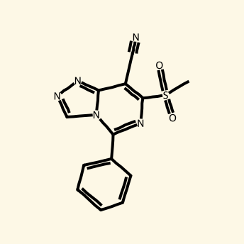 CS(=O)(=O)c1nc(-c2ccccc2)n2cnnc2c1C#N